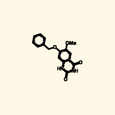 COc1cc2c(=O)[nH]c(=O)[nH]c2cc1OCc1ccccc1